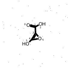 O=C(O)C1=C(O)O1